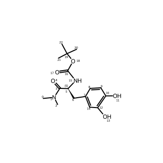 CN(C)C(=O)[C@H](Cc1ccc(O)c(O)c1)NC(=O)OC(C)(C)C